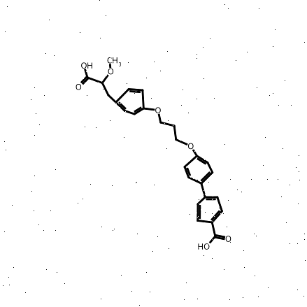 COC(Cc1ccc(OCCCOc2ccc(-c3ccc(C(=O)O)cc3)cc2)cc1)C(=O)O